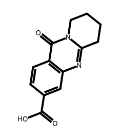 O=C(O)c1ccc2c(=O)n3c(nc2c1)CCCC3